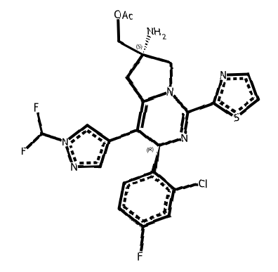 CC(=O)OC[C@]1(N)CC2=C(c3cnn(C(F)F)c3)[C@H](c3ccc(F)cc3Cl)N=C(c3nccs3)N2C1